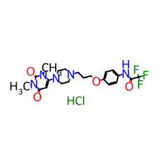 Cl.Cn1c(N2CCN(CCCOc3ccc(NC(=O)C(F)(F)F)cc3)CC2)cc(=O)n(C)c1=O